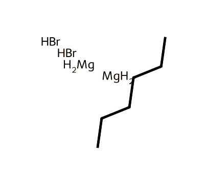 Br.Br.CCCCCC.[MgH2].[MgH2]